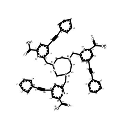 O=C(O)c1cc(C#Cc2ccccc2)cc(CN2CCN(Cc3cc(C#Cc4ccccc4)cc(C(=O)O)n3)CCN(Cc3cc(C#Cc4ccccc4)cc(C(=O)O)n3)CC2)n1